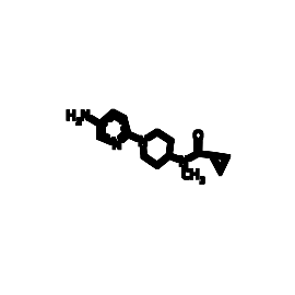 CN(C(=O)C1CC1)C1CCN(c2ccc(N)cn2)CC1